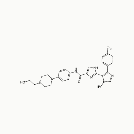 CC(C)n1cnc(-c2ccc(C(F)(F)F)cc2)c1-c1nc(C(=O)Nc2ccc(N3CCN(CCO)CC3)cc2)c[nH]1